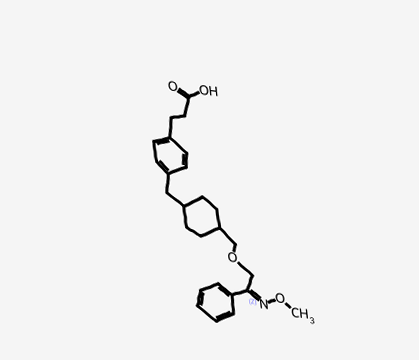 CO/N=C(\COCC1CCC(Cc2ccc(CCC(=O)O)cc2)CC1)c1ccccc1